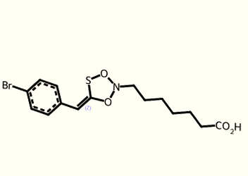 O=C(O)CCCCCCN1OS/C(=C\c2ccc(Br)cc2)O1